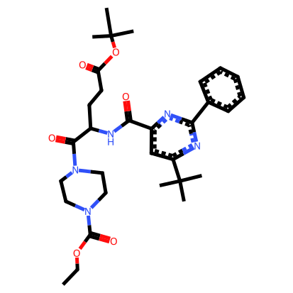 CCOC(=O)N1CCN(C(=O)C(CCC(=O)OC(C)(C)C)NC(=O)c2cc(C(C)(C)C)nc(-c3ccccc3)n2)CC1